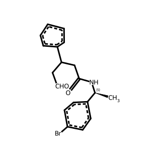 C[C@H](NC(=O)CC(CC=O)c1ccccc1)c1ccc(Br)cc1